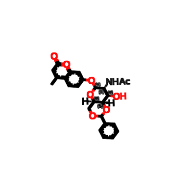 CC(=O)N[C@H]1[C@H](Oc2ccc3c(C)cc(=O)oc3c2)O[C@@H]2COC(c3ccccc3)O[C@H]2[C@@H]1O